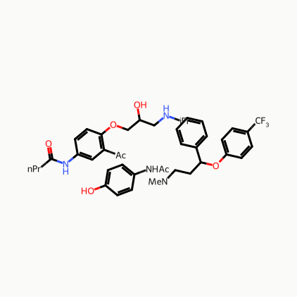 CC(=O)Nc1ccc(O)cc1.CCCC(=O)Nc1ccc(OCC(O)CNC(C)C)c(C(C)=O)c1.CNCCC(Oc1ccc(C(F)(F)F)cc1)c1ccccc1